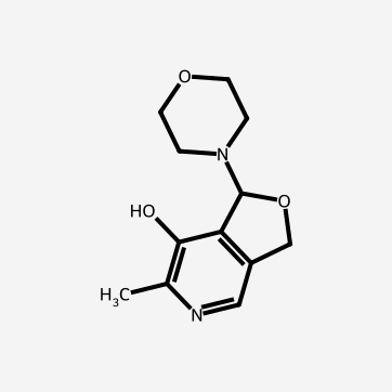 Cc1ncc2c(c1O)C(N1CCOCC1)OC2